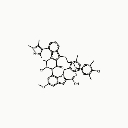 COc1cc(N2C(=O)c3c(CCCOc4cc(C)c(Cl)c(C)c4)c4cccc(-c5c(C)nn(C)c5C)c4n3C(C)C2Cl)c2c(c1)cc(C(=O)O)n2Cc1cccc(C)n1